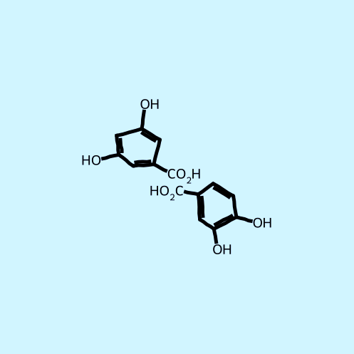 O=C(O)c1cc(O)cc(O)c1.O=C(O)c1ccc(O)c(O)c1